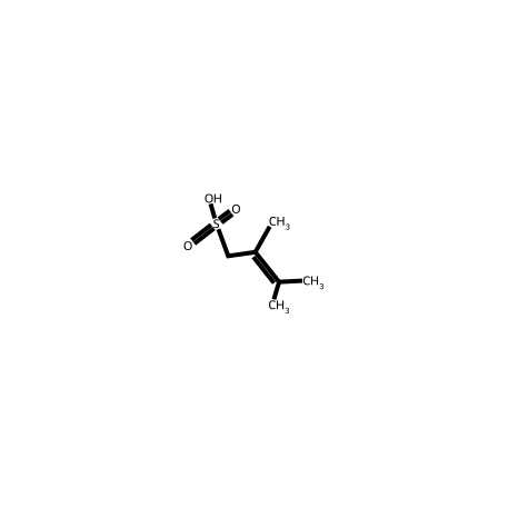 CC(C)=C(C)CS(=O)(=O)O